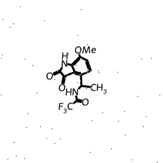 COc1ccc(C(C)NC(=O)C(F)(F)F)c2c1NC(=O)C2=O